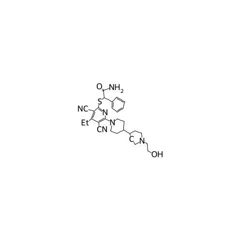 CCc1c(C#N)c(SC(C(N)=O)c2ccccc2)nc(N2CCC(C3CCN(CCO)CC3)CC2)c1C#N